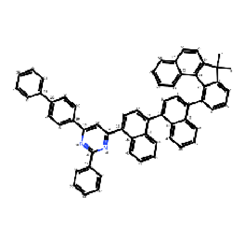 CC1(C)c2cccc(-c3ccc(-c4ccc(-c5cc(-c6ccc(-c7ccccc7)cc6)nc(-c6ccccc6)n5)c5ccccc45)c4ccccc34)c2-c2c1ccc1ccccc21